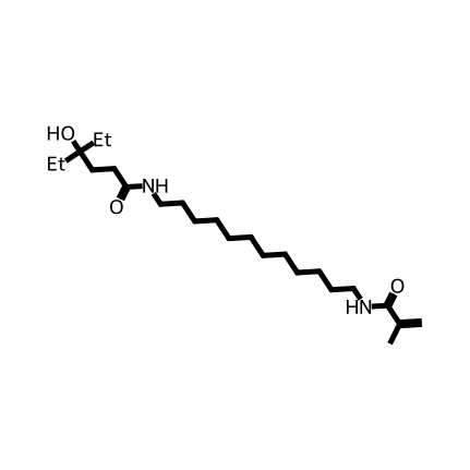 C=C(C)C(=O)NCCCCCCCCCCCCNC(=O)CCC(O)(CC)CC